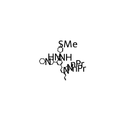 C=C/C=C(\C=C/Cc1cc2c(c(C3CCN(C4CCCCC4)CC3)c1)NC(C1C=CC(SC)CC1)N2)N1CCN(C(CCC)CCC)C1